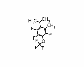 Cc1c(F)c(OC(F)(F)F)c(F)c(F)c1C(C)C